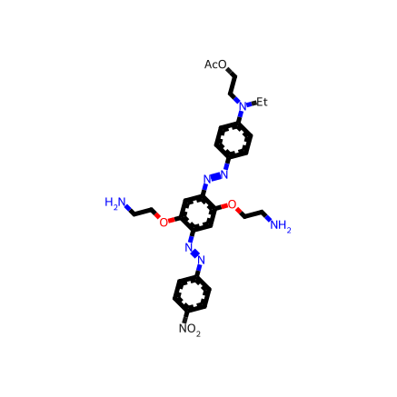 CCN(CCOC(C)=O)c1ccc(/N=N/c2cc(OCCN)c(/N=N/c3ccc([N+](=O)[O-])cc3)cc2OCCN)cc1